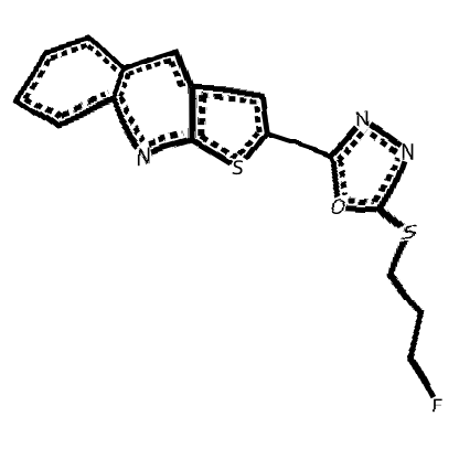 FCCCSc1nnc(-c2cc3cc4ccccc4nc3s2)o1